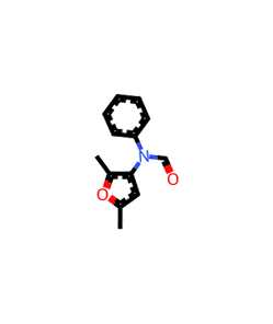 Cc1cc(N(C=O)c2ccccc2)c(C)o1